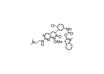 COn1c(=O)c(-c2cc(NC(=O)Oc3cc4ccccc4n3C)ccc2Cl)cc2cnc(NCCN(C)C)nc21